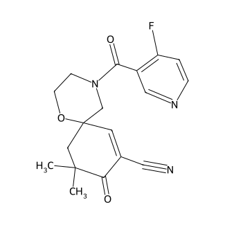 CC1(C)CC2(C=C(C#N)C1=O)CN(C(=O)c1cnccc1F)CCO2